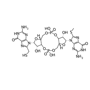 CSc1nc2c(=O)[nH]c(N)nc2n1[C@@H]1O[C@@H]2COP(=O)(O)OC3[C@@H](COP(=O)(O)OC2[C@@H]1O)O[C@@H](n1c(CS)nc2c(=O)[nH]c(N)nc21)[C@H]3O